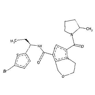 CC[C@@H](NC(=O)c1cc(C(=O)N2CCCC2C)n2c1COCC2)c1ccc(Br)s1